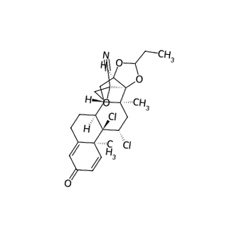 CCC1O[C@@H]2C[C@H]3[C@@H]4CCC5=CC(=O)C=C[C@]5(C)[C@@]4(Cl)[C@@H](Cl)C[C@]3(C)[C@]2(C2(C#N)CO2)O1